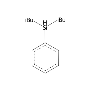 CCC(C)[SiH](c1ccccc1)C(C)CC